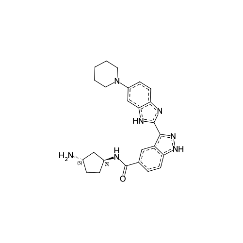 N[C@H]1CC[C@H](NC(=O)c2ccc3[nH]nc(-c4nc5ccc(N6CCCCC6)cc5[nH]4)c3c2)C1